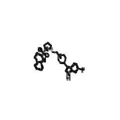 O=S(=O)(c1ccc2ccccc2n1)N1CCC[C@@H]1CCN1CC=C(c2c[nH]c3cc(F)ccc23)CC1